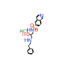 Cl.O=S(=O)(NCC(O)CNCCc1ccccc1)c1ccc2cnccc2c1